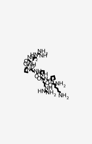 N=C(N)NCCC[C@H](NC(=O)[C@@H]1CCCN1C(=O)CNC(=O)[C@@H]1CCCN1C(=O)[C@H](CCCNC(=N)N)NC(=O)[C@@H]1CCCN1C(=O)[C@@H](N)CCCCN)C(N)=O